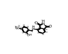 O=C1NC(=O)c2c(NCc3ccc(Br)cc3O)cccc21